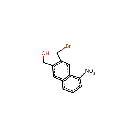 O=[N+]([O-])c1cccc2cc(CO)c(CBr)cc12